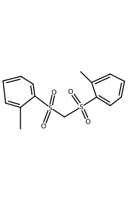 Cc1ccccc1S(=O)(=O)CS(=O)(=O)c1ccccc1C